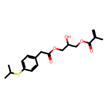 C=C(C)C(=O)OCC(O)COC(=O)Cc1ccc(SC(C)C)cc1